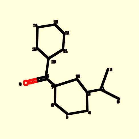 CC(C)C1CCCC(C(=O)C2CCCCC2)C1